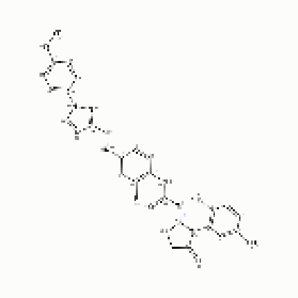 CCCc1ccc(C)cc1N1C(=O)CS/C1=N\C(=O)Nc1ccc(NCc2ncn(-c3ccc(OC(F)(F)F)cc3)n2)cc1F